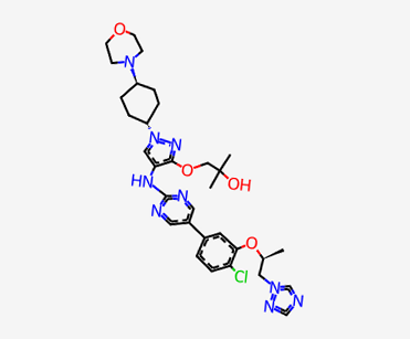 C[C@@H](Cn1cncn1)Oc1cc(-c2cnc(Nc3cn([C@H]4CC[C@H](N5CCOCC5)CC4)nc3OCC(C)(C)O)nc2)ccc1Cl